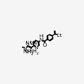 C=C(CC)c1ccc(C(=O)Nc2ccc(/C(N)=C(\NC)N(C)N)nc2)cc1